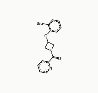 CC(C)(C)c1ccccc1OC1CN(C(=O)c2ccccn2)C1